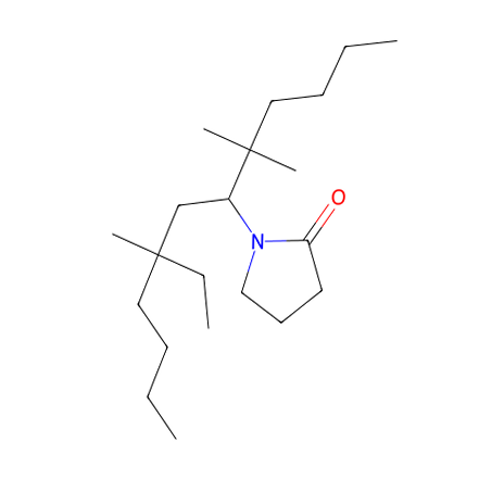 CCCCC(C)(CC)CC(N1CCCC1=O)C(C)(C)CCCC